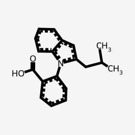 CC(C)Cc1cc2ccccc2n1-c1ccccc1C(=O)O